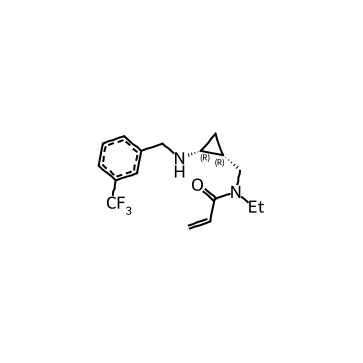 C=CC(=O)N(CC)C[C@H]1C[C@H]1NCc1cccc(C(F)(F)F)c1